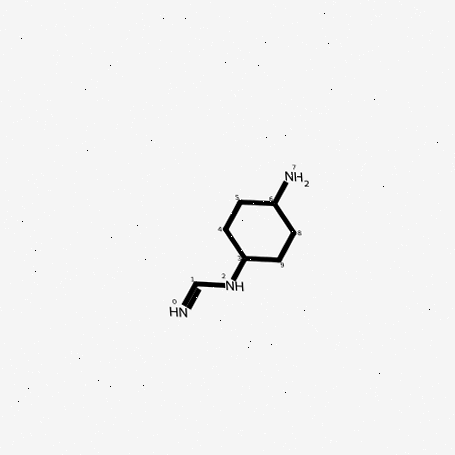 N=CNC1CCC(N)CC1